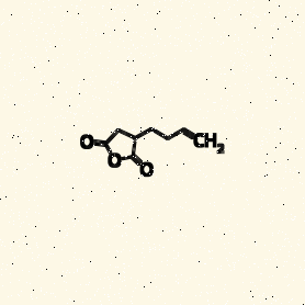 C=CCCC1CC(=O)OC1=O